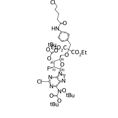 CCOC(=O)C(Cc1ccc(NC(=O)CCCCCl)cc1)(OC[C@H]1O[C@@H](n2cnc3c(N(OC(C)(C)C)C(=O)OC(C)(C)C)nc(Cl)nc32)[C@@H](F)[C@@H]1OC(=O)OC(C)(C)C)C(=O)OCC